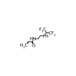 C=CC(=O)NCCPC(C(F)(F)F)C(F)(F)F